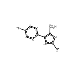 CC(C)n1cc(C(=O)O)c(-c2ccc(F)cc2)n1